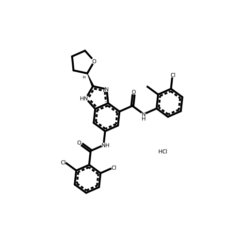 Cc1c(Cl)cccc1NC(=O)c1cc(NC(=O)c2c(Cl)cccc2Cl)cc2[nH]c([C@H]3CCCO3)nc12.Cl